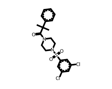 CC(C)(C(=O)N1CCN(S(=O)(=O)c2cc(Cl)cc(Cl)c2)CC1)c1ccccc1